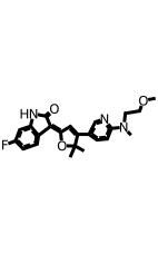 COCCN(C)c1ccc(C2=C/C(=C3\C(=O)Nc4cc(F)ccc43)OC2(C)C)cn1